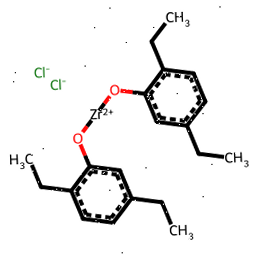 CCc1ccc(CC)c([O][Zr+2][O]c2cc(CC)ccc2CC)c1.[Cl-].[Cl-]